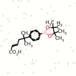 CC(C)(C/C=C/C(=O)O)c1ccc(B2OC(C)(C)C(C)(C)O2)cc1